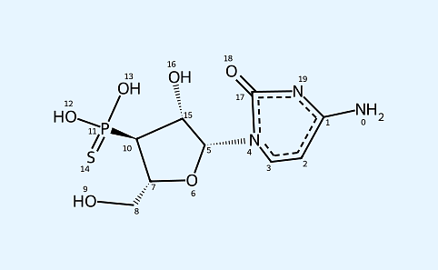 Nc1ccn([C@@H]2O[C@H](CO)[C@@H](P(O)(O)=S)[C@@H]2O)c(=O)n1